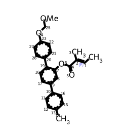 C/C=C(\C)C(=O)Oc1cc(-c2ccc(C)cc2)ccc1-c1ccc(OCOC)cc1